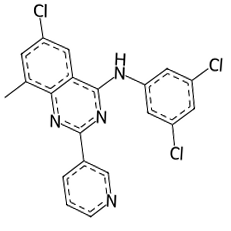 Cc1cc(Cl)cc2c(Nc3cc(Cl)cc(Cl)c3)nc(-c3cccnc3)nc12